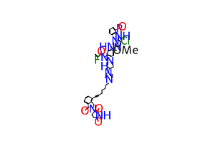 C=C(F)C(=O)Nc1cc(Nc2ncc(Cl)c(Nc3ccccc3P(C)(C)=O)n2)c(OC)cc1N1CCC(N2CCN(CCCCCC#Cc3cccc4c3CN(C3CCC(=O)NC3=O)C4=O)CC2)CC1